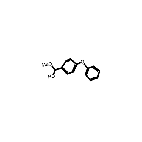 COC(O)c1ccc(Oc2ccccc2)cc1